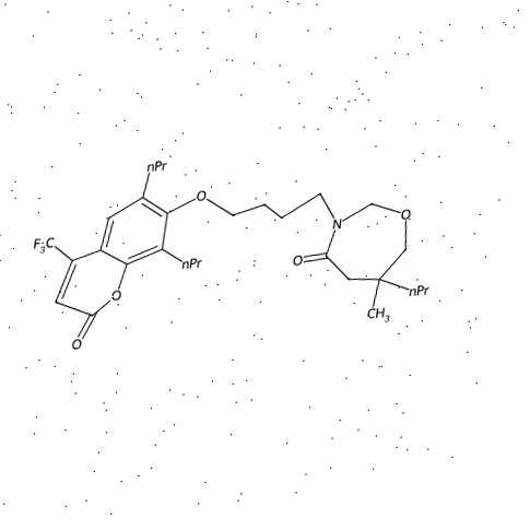 CCCc1cc2c(C(F)(F)F)cc(=O)oc2c(CCC)c1OCCCCN1COCC(C)(CCC)CC1=O